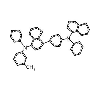 Cc1cccc(N(c2ccccc2)c2ccc(-c3ccc(N(c4ccccc4)c4cccc5ccccc45)cc3)c3ccccc23)c1